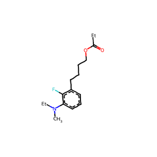 CCC(=O)OCCCCc1cccc(N(C)CC)c1F